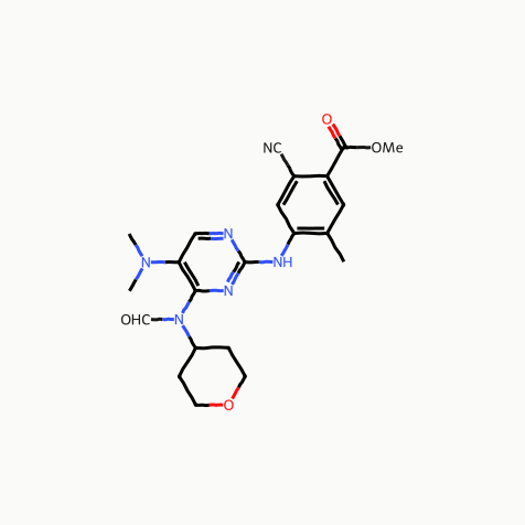 COC(=O)c1cc(C)c(Nc2ncc(N(C)C)c(N(C=O)C3CCOCC3)n2)cc1C#N